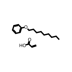 C=CC(=O)O.CCCCCCCCCOc1ccccc1